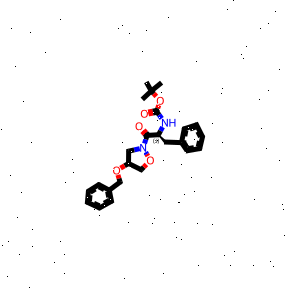 CC(C)(C)OC(=O)N[C@@H](Cc1ccccc1)C(=O)N1CC(OCc2ccccc2)CO1